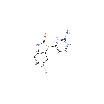 Nc1nccc(C2C(=O)Nc3ccc(F)cc32)n1